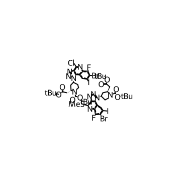 CC(C)(C)OC(=O)C[C@@H]1C[C@@H](n2nnc3c(Cl)nc4c(F)c(Br)c(I)cc4c32)CCN1C(=O)OC(C)(C)C.CSc1nc2c(F)c(Br)c(I)cc2c2c1nnn2[C@H]1CCN(C(=O)OC(C)(C)C)[C@H](CC(=O)OC(C)(C)C)C1